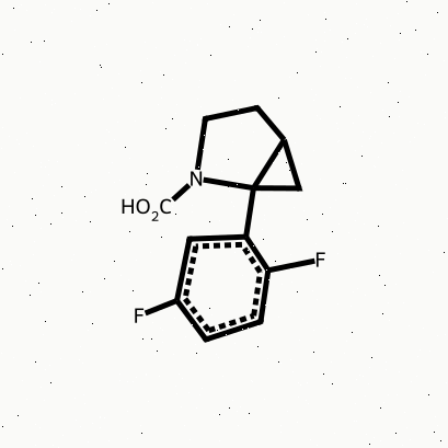 O=C(O)N1CCC2CC21c1cc(F)ccc1F